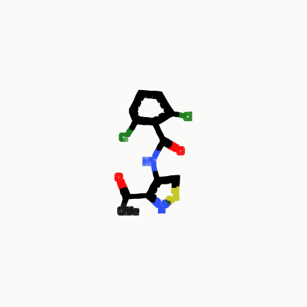 COC(=O)c1nscc1NC(=O)c1c(Cl)cccc1Cl